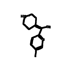 Cc1ccc(C(C#N)=C2CCNCC2)nc1